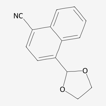 N#Cc1ccc(C2OCCO2)c2ccccc12